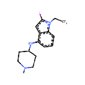 CN1CCC(Nc2cccc3c2cc(I)n3CC(F)(F)F)CC1